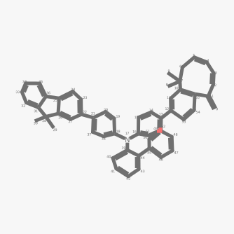 C=C1/C=C\C=C/CC(C)(C)c2cc(-c3ccc(N(c4ccc(-c5ccc6c(c5)C(C)(C)c5ccccc5-6)cc4)c4ccccc4-c4ccccc4)cc3)ccc21